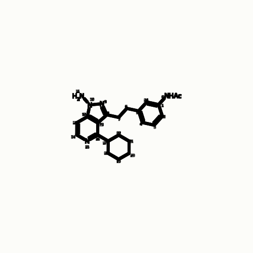 CC(=O)Nc1cccc(CCc2nn(N)c3ccnc(C4CCCCC4)c23)c1